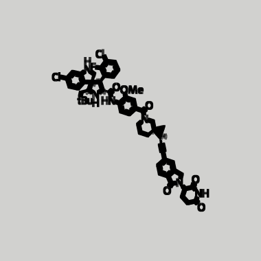 COc1cc(C(=O)N2CCC[C@]3(C[C@@H]3C#Cc3ccc4c(c3)CN(C3CCC(=O)NC3=O)C4=O)C2)ccc1NC(=O)[C@@H]1N[C@@H](CC(C)(C)C)[C@@]2(CNc3cc(Cl)ccc32)[C@H]1c1cccc(Cl)c1F